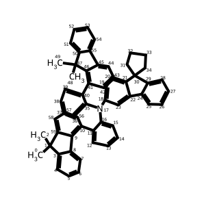 CC1(C)c2ccccc2-c2c(-c3ccccc3N(c3ccc4c(c3)-c3ccccc3C43CCCC3)c3ccccc3-c3cccc4c3C(C)(C)c3ccccc3-4)cccc21